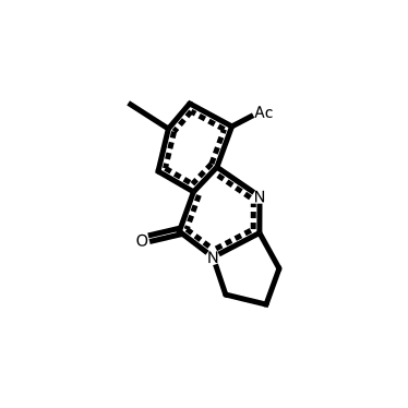 CC(=O)c1cc(C)cc2c(=O)n3c(nc12)CCC3